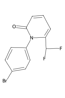 O=c1cccc(C(F)F)n1-c1ccc(Br)cc1